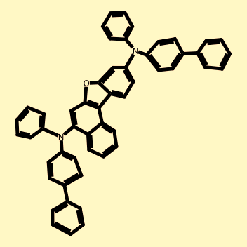 c1ccc(-c2ccc(N(c3ccccc3)c3ccc4c(c3)oc3cc(N(c5ccccc5)c5ccc(-c6ccccc6)cc5)c5ccccc5c34)cc2)cc1